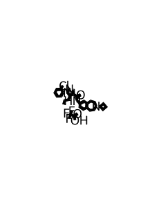 CCCc1c(C(=O)Nc2ccc3c(c2)CCN(C2CCC2)CC3)cnn1-c1ccccc1Cl.O=C(O)C(F)(F)F